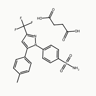 Cc1ccc(-c2cc(C(F)(F)F)nn2-c2ccc(S(N)(=O)=O)cc2)cc1.O=C(O)CCC(=O)O